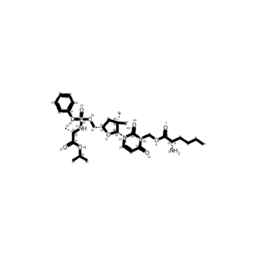 CCCC[C@H](N)C(=O)OCn1c(=O)ccn([C@@H]2O[C@H](COP(=O)(N[C@@H](C)C(=O)OC(C)C)Oc3ccccc3)C[C@@]2(C)F)c1=O